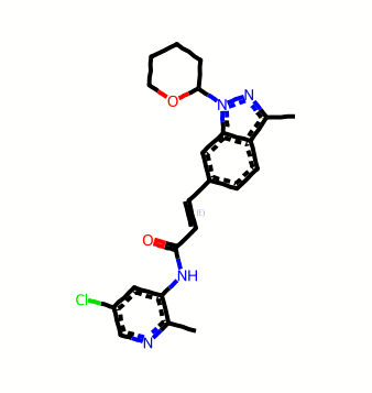 Cc1ncc(Cl)cc1NC(=O)/C=C/c1ccc2c(C)nn(C3CCCCO3)c2c1